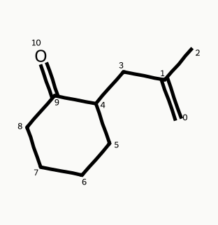 C=C(C)CC1CCCCC1=O